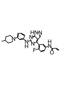 C=CC(=O)Nc1ccc(F)c(-c2nc(Nc3cccc(N4CCC(C)CC4)c3)nc3[nH]ncc23)c1